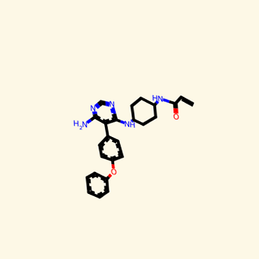 C=CC(=O)NC1CCC(Nc2ncnc(N)c2-c2ccc(Oc3ccccc3)cc2)CC1